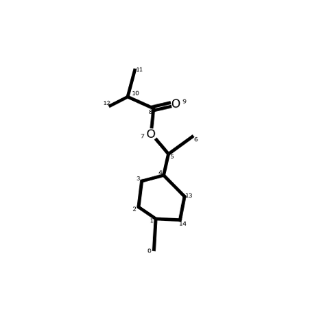 CC1CCC(C(C)OC(=O)C(C)C)CC1